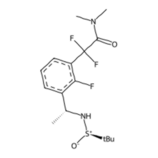 C[C@@H](N[S@+]([O-])C(C)(C)C)c1cccc(C(F)(F)C(=O)N(C)C)c1F